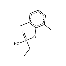 CCP(=O)(O)Oc1c(C)cccc1C